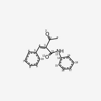 CC(=O)C(=Cc1ccccc1)C(=O)Nc1ccccc1